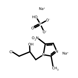 Cc1ncc([N+](=O)[O-])n1CC(O)CCl.O=P([O-])([O-])O.[Na+].[Na+]